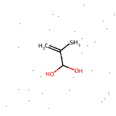 C=C([SiH3])C(O)O